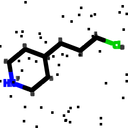 ClCCCC1CCNCC1